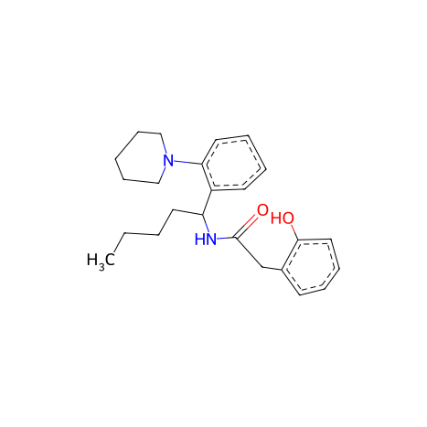 CCCCC(NC(=O)Cc1ccccc1O)c1ccccc1N1CCCCC1